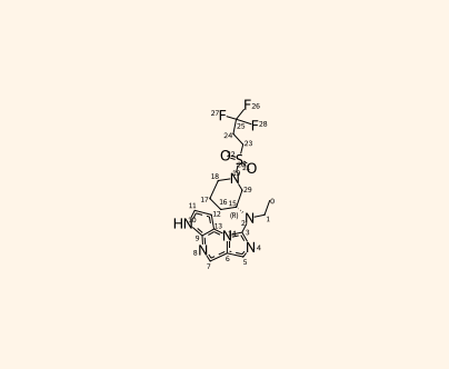 CCN(c1ncc2cnc3[nH]ccc3n12)[C@@H]1CCCN(S(=O)(=O)CCC(F)(F)F)C1